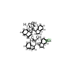 C=C[SiH](C=C)[Hf+]([CH]1C=Cc2ccccc21)[CH]1C=Cc2ccccc21.C=C[SiH](C=C)[Hf+]([CH]1C=Cc2ccccc21)[CH]1C=Cc2ccccc21.[Cl-].[Cl-]